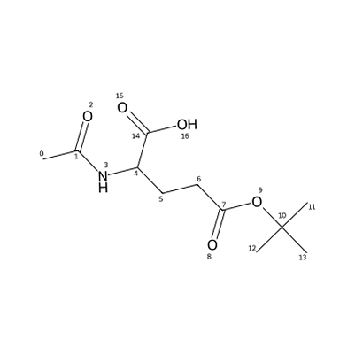 CC(=O)NC(CCC(=O)OC(C)(C)C)C(=O)O